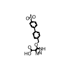 CS(=O)(=O)c1ccc(-c2ccc(COc3[nH]nnc3C(=O)O)cc2)cc1